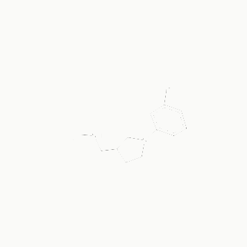 O=C(O)NCC1CCN(c2cccc(Br)c2)C1